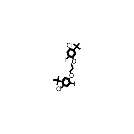 CC(C)(C)c1cc(OCCCOc2cc(C(C)(C)C)c(Cl)cc2I)c(I)cc1Cl